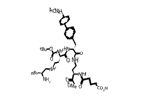 CCCC[C@H](N)CNCC[C@H](NC(=O)OC(C)(C)C)C(=O)N[C@H](Cc1ccc(-c2ccc(NC(C)=O)cc2)cc1)C(=O)NCC[C@@H](NC(=O)CCCC(=O)O)C(=O)OC